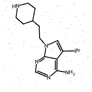 CC(C)c1cn(CCC2CCNCC2)c2ncnc(N)c12